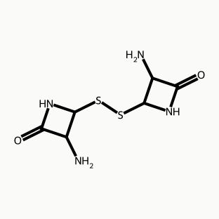 NC1C(=O)NC1SSC1NC(=O)C1N